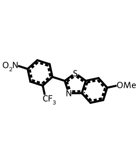 COc1ccc2nc(-c3ccc([N+](=O)[O-])cc3C(F)(F)F)sc2c1